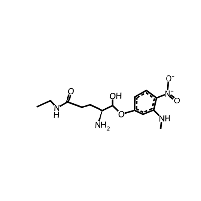 CCNC(=O)CC[C@H](N)C(O)Oc1ccc([N+](=O)[O-])c(NC)c1